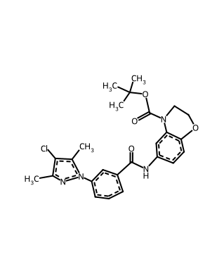 Cc1nn(-c2cccc(C(=O)Nc3ccc4c(c3)N(C(=O)OC(C)(C)C)CCO4)c2)c(C)c1Cl